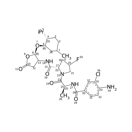 CC1CC[C@@H](C(C)C)[C@H](O[C@@H]2OC(=O)CC2NC(=O)[C@@H]2CC(F)CN2C(=O)[C@H](C)NC(=O)c2ccc(N)c(Cl)c2)C1